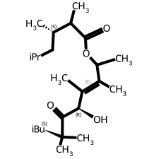 CC[C@H](C)C(C)(C)C(=O)[C@H](O)/C(C)=C(\C)C(C)OC(=O)C(C)[C@@H](C)CC(C)C